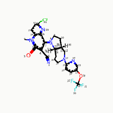 Cn1c(=O)c(C#N)c(N2CC[C@@H]3CN(c4ccc(OC(F)(F)F)cn4)CC[C@@H]32)c2nc(Cl)ccc21